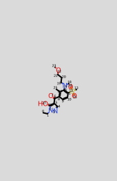 CCn1ncc(C(=O)c2ccc(S(C)(=O)=O)c(N(C)CCCOC)c2C)c1O